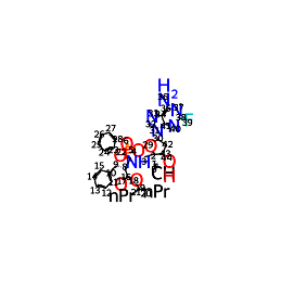 C#C[C@]1(CO[P@@](=O)(N[C@@H](Cc2ccccc2)C(=O)OC(CCC)CCC)Oc2ccccc2)O[C@@H](n2cnc3c(N)nc(F)nc32)C[C@@H]1O